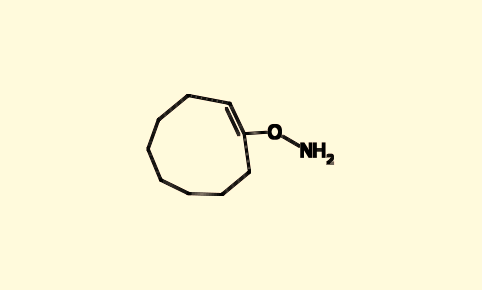 NOC1=CCCCCCCC1